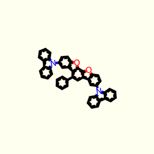 c1ccc(-c2cc3c4cc(-n5c6ccccc6c6ccccc65)ccc4oc3c3oc4ccc(-n5c6ccccc6c6ccccc65)cc4c23)cc1